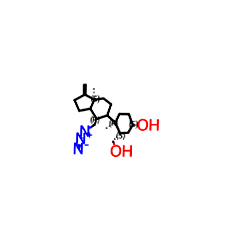 C=C1CCC2[C@H](CN=[N+]=[N-])C([C@@]3(C)CC[C@H](O)C[C@@H]3CO)CC[C@]12C